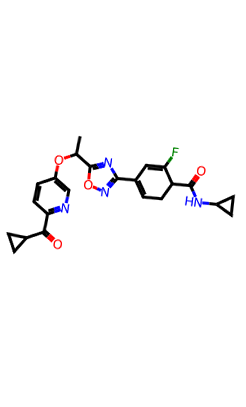 CC(Oc1ccc(C(=O)C2CC2)nc1)c1nc(C2=CCC(C(=O)NC3CC3)C(F)=C2)no1